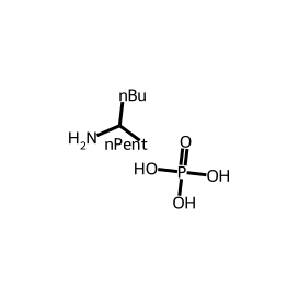 CCCCCC(N)CCCC.O=P(O)(O)O